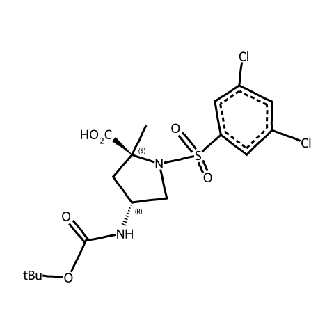 CC(C)(C)OC(=O)N[C@H]1CN(S(=O)(=O)c2cc(Cl)cc(Cl)c2)[C@](C)(C(=O)O)C1